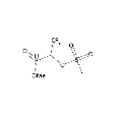 CO[PH](=O)C(OS(C)(=O)=O)C(F)(F)F